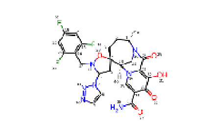 C[C@H]1CC[C@]2(CC(n3ccnn3)N(Cc3c(F)cc(F)cc3F)O2)[C@H]2CN1C(=O)c1c(O)c(=O)c(C(N)=O)cn12